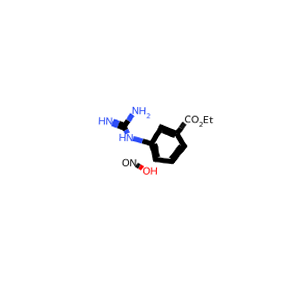 CCOC(=O)c1cccc(NC(=N)N)c1.O=NO